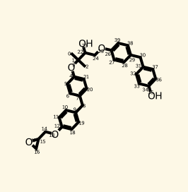 CC(C)(Oc1ccc(Cc2ccc(OCC3CO3)cc2)cc1)C(O)COc1ccc(Cc2ccc(O)cc2)cc1